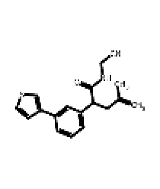 C=C(C)CC(C(=O)NCC#N)c1cccc(-c2ccsc2)c1